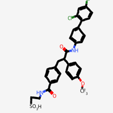 O=C(NCCS(=O)(=O)O)c1ccc(CC(C(=O)Nc2ccc(-c3ccc(Cl)cc3Cl)cc2)c2ccc(OC(F)(F)F)cc2)cc1